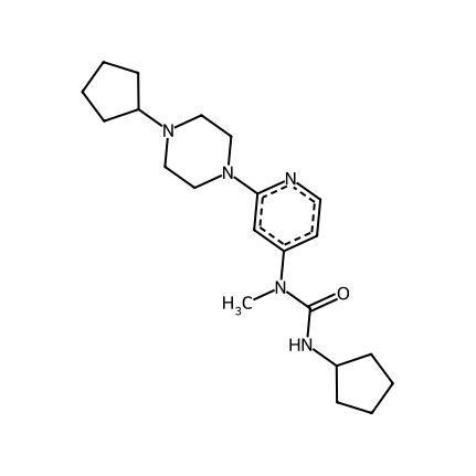 CN(C(=O)NC1CCCC1)c1ccnc(N2CCN(C3CCCC3)CC2)c1